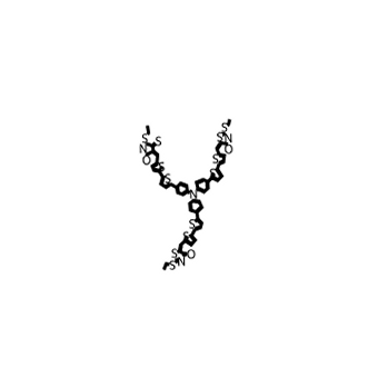 CCSC1=NC(=O)/C(=C\c2ccc(-c3ccc(-c4ccc(N(c5ccc(-c6ccc(-c7ccc(/C=C8/SC(SCC)=NC8=O)s7)s6)cc5)c5ccc(-c6ccc(-c7ccc(/C=C8\C(=O)N=C(SCC)C8=S)s7)s6)cc5)cc4)s3)s2)S1